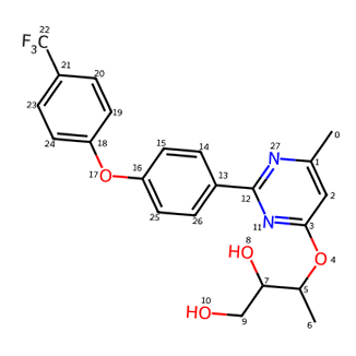 Cc1cc(OC(C)C(O)CO)nc(-c2ccc(Oc3ccc(C(F)(F)F)cc3)cc2)n1